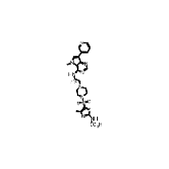 Cc1nc(NC(=O)O)sc1S(=O)(=O)N1CCN(C[C@H](C)Nc2ncnc3c(-c4cccnc4)cn(C)c23)CC1